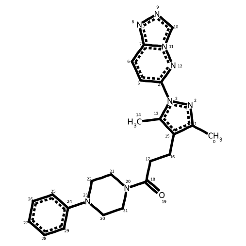 Cc1nn(-c2ccc3nncn3n2)c(C)c1CCC(=O)N1CCN(c2ccccc2)CC1